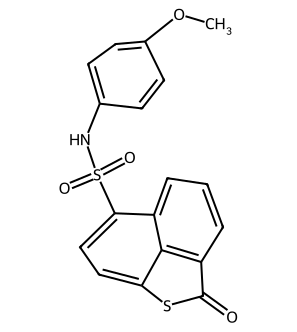 COc1ccc(NS(=O)(=O)c2ccc3c4c(cccc24)C(=O)S3)cc1